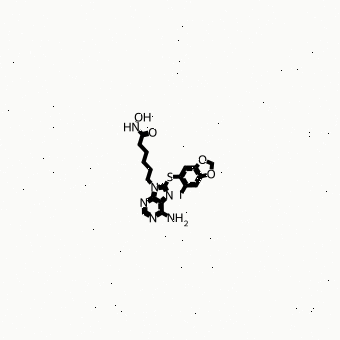 Nc1ncnc2c1nc(Sc1cc3c(cc1I)OCO3)n2CCCCCC(=O)NO